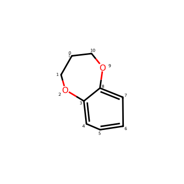 [C]1COc2ccccc2OC1